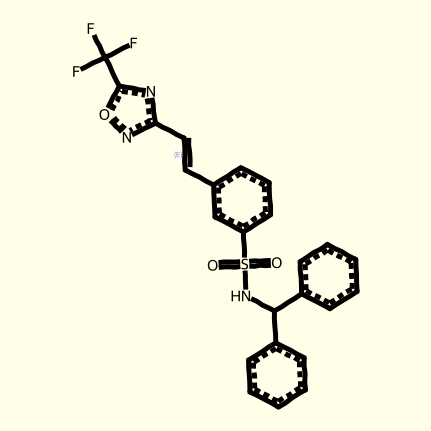 O=S(=O)(NC(c1ccccc1)c1ccccc1)c1cccc(/C=C/c2noc(C(F)(F)F)n2)c1